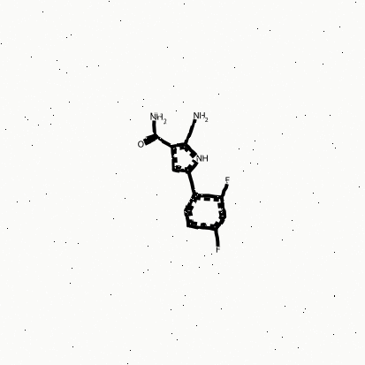 NC(=O)c1cc(-c2ccc(F)cc2F)[nH]c1N